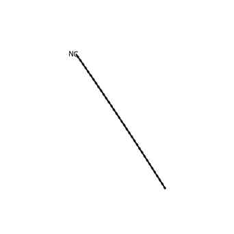 C#CC#CC#CC#CC#CC#CC#CC#CC#CC#CC#CC#CC#CC#CC#CC#CC#CC#CC#CC#CC#CC#CC#CC#CC#CC#CC#CC#CC#CC#CC#CC#CC#CC#CC#CC#N